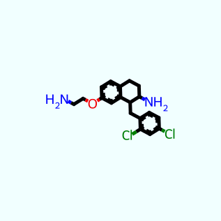 NCCOc1ccc2c(c1)C(Cc1ccc(Cl)cc1Cl)C(N)CC2